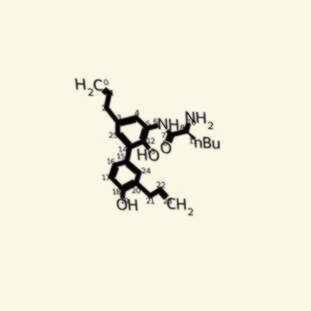 C=CCc1cc(NC(=O)[C@@H](N)CCCC)c(O)c(-c2ccc(O)c(CC=C)c2)c1